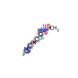 CC(O)CNC(=O)Nc1cc(F)c(C2CCC(=NOC3CCN(c4ncc(F)cn4)CC3)CC2)cc1F